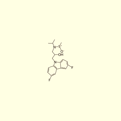 CC(C)N(CC(O)Cn1c2ccc(F)cc2c2cc(F)ccc21)[S+](C)[O-]